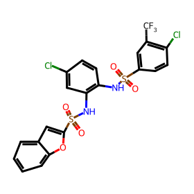 O=S(=O)(Nc1ccc(Cl)cc1NS(=O)(=O)c1cc2ccccc2o1)c1ccc(Cl)c(C(F)(F)F)c1